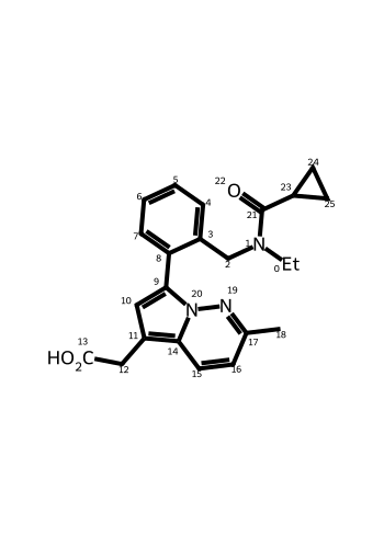 CCN(Cc1ccccc1-c1cc(CC(=O)O)c2ccc(C)nn12)C(=O)C1CC1